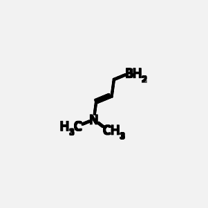 BC/C=C/N(C)C